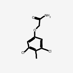 Cc1c(Cl)cc(OCC(N)=O)cc1Cl